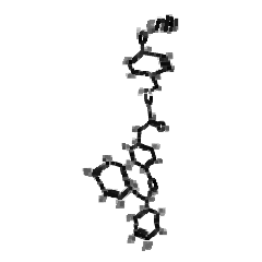 CCCCOc1ccc(COC(=O)Cc2ccc(OC(c3ccccc3)c3ccccc3)cc2)cc1